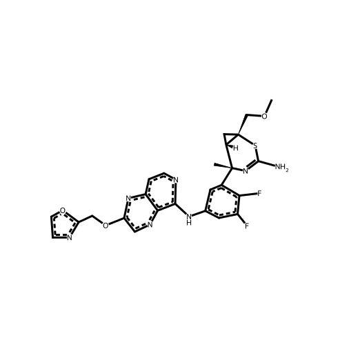 COC[C@]12C[C@H]1[C@@](C)(c1cc(Nc3nccc4nc(OCc5ncco5)cnc34)cc(F)c1F)N=C(N)S2